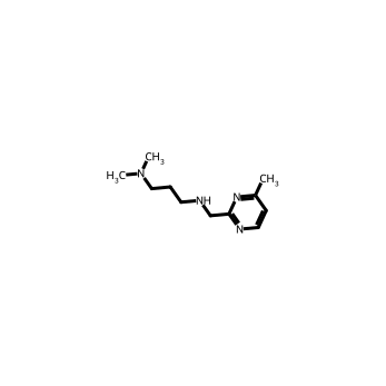 Cc1ccnc(CNCCCN(C)C)n1